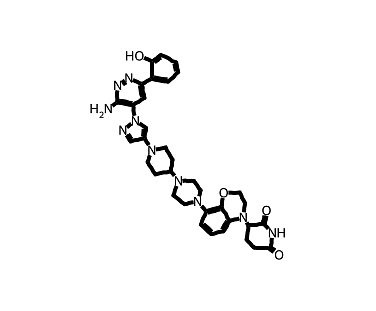 Nc1nnc(-c2ccccc2O)cc1-n1cc(N2CCC(N3CCN(c4cccc5c4OCCN5C4CCC(=O)NC4=O)CC3)CC2)cn1